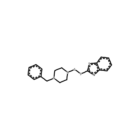 c1ccc(CN2CCN(SSc3nc4ccccc4s3)CC2)cc1